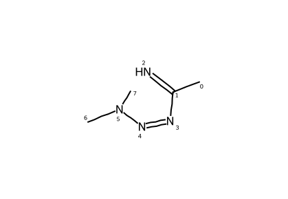 CC(=N)/N=N\N(C)C